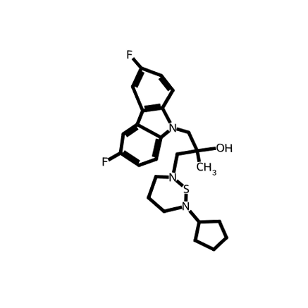 CC(O)(CN1CCCN(C2CCCC2)S1)Cn1c2ccc(F)cc2c2cc(F)ccc21